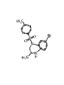 Cc1ccc(S(=O)(=O)N2CC(C)Nc3ccc(Br)cc32)cc1